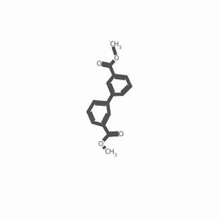 COC(=O)c1cc[c]c(-c2cccc(C(=O)OC)c2)c1